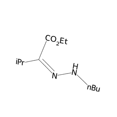 CCCCN/N=C(\C(=O)OCC)C(C)C